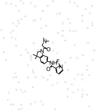 CN(C)CC(=O)N1CC(C)(C)c2ccc(NC(=O)c3cccnc3F)cc21